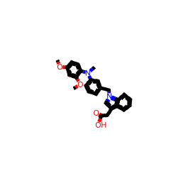 COc1ccc(N(C)c2cccc(Cn3cc(CC(=O)O)c4ccccc43)c2)c(OC)c1